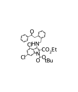 CCOC(=O)c1c(NCc2ccccc2CC(=O)c2ccccc2)c2c(Cl)cc(Cl)cc2n1C(=O)OC(C)(C)C